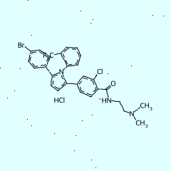 CN(C)CCNC(=O)c1ccc(-c2ccc(-c3ccc(Br)cc3)n2-c2ccccc2C(F)(F)F)cc1Cl.Cl